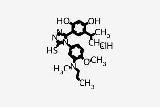 CCCN(C)c1cc(-n2c(S)nnc2-c2cc(C(C)C)c(O)cc2O)ccc1OC.Cl